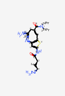 CCCN(CCC)C(=O)C1=Cc2sc(NC(=O)CCCN)cc2N=C(N)C1